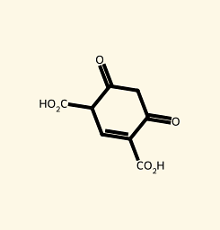 O=C(O)C1=CC(C(=O)O)C(=O)CC1=O